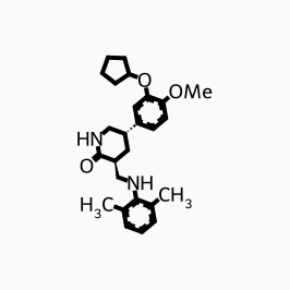 COc1ccc([C@H]2CNC(=O)[C@H](CNc3c(C)cccc3C)C2)cc1OC1CCCC1